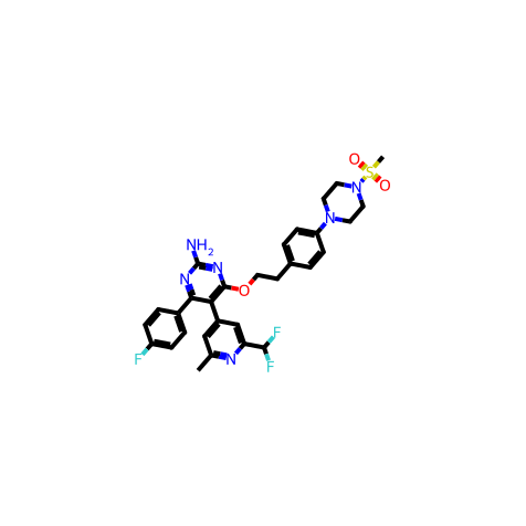 Cc1cc(-c2c(OCCc3ccc(N4CCN(S(C)(=O)=O)CC4)cc3)nc(N)nc2-c2ccc(F)cc2)cc(C(F)F)n1